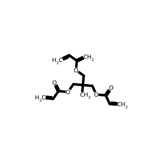 C=CC(=C)OCC(C)(COC(=O)C=C)COC(=O)C=C